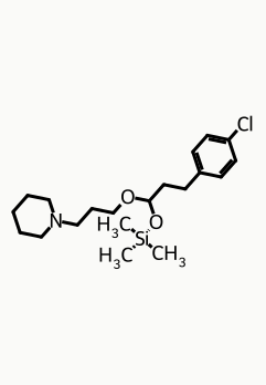 C[Si](C)(C)OC(CCc1ccc(Cl)cc1)OCCCN1CCCCC1